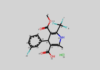 COC(=O)C1=C(C(F)(F)F)NC(C)=C(C(=O)O)C1c1cccc(F)c1.Cl